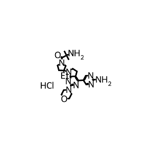 CC[C@@]1(N2CCc3c(-c4cnc(N)nc4)nc(N4CCOCC4)nc32)CCN(C(=O)C(C)(C)N)C1.Cl